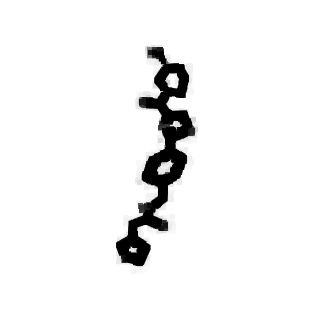 O=C(Cc1ccsc1)NCc1ccc(-c2nc(C(=O)N3CCC[C@@H](O)C3)co2)cc1